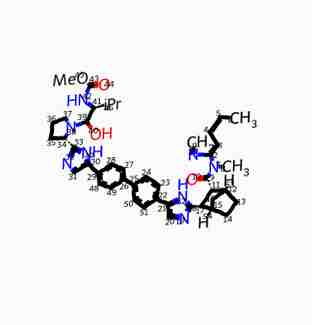 C=N/C(=C\C=C/C)N(C)C(=O)[C@@H]1[C@@H]2CC[C@@H](C2)[C@H]1c1ncc(-c2ccc(-c3ccc(-c4cnc([C@@H]5CCCN5C(O)[C@@H](NC(=O)OC)C(C)C)[nH]4)cc3)cc2)[nH]1